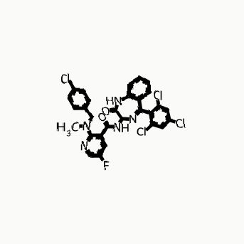 CN(Cc1ccc(Cl)cc1)c1ncc(F)cc1C(=O)NC1N=C(c2c(Cl)cc(Cl)cc2Cl)c2ccccc2NC1=O